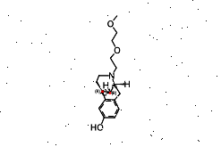 COCCOCCN1CC[C@]23CCCC[C@H]2[C@H]1Cc1ccc(O)cc13